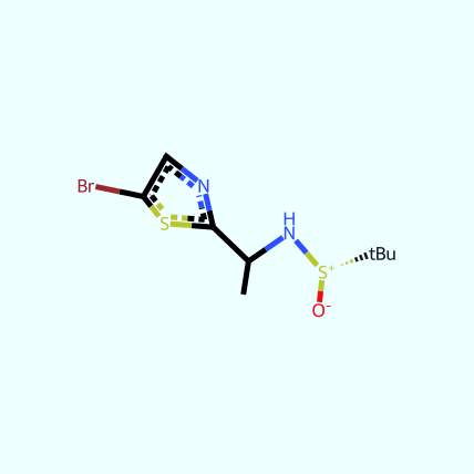 CC(N[S@@+]([O-])C(C)(C)C)c1ncc(Br)s1